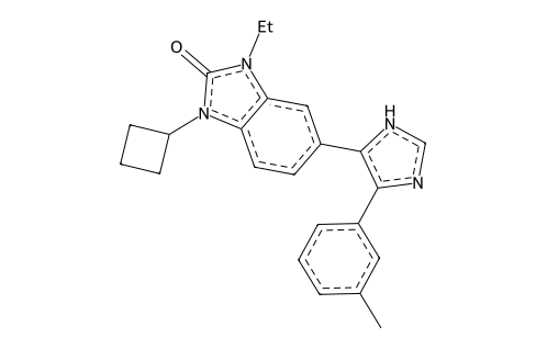 CCn1c(=O)n(C2CCC2)c2ccc(-c3[nH]cnc3-c3cccc(C)c3)cc21